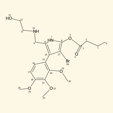 CCCC(=O)Oc1[nH]c(CNCCO)c(-c2ccc(OC)c(OC)c2OC)c1Br